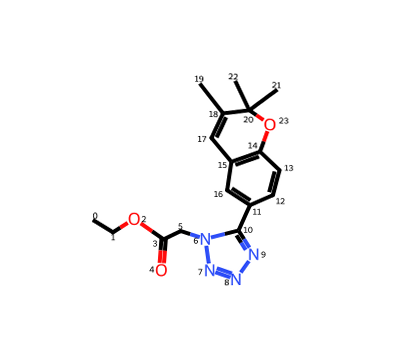 CCOC(=O)Cn1nnnc1-c1ccc2c(c1)C=C(C)C(C)(C)O2